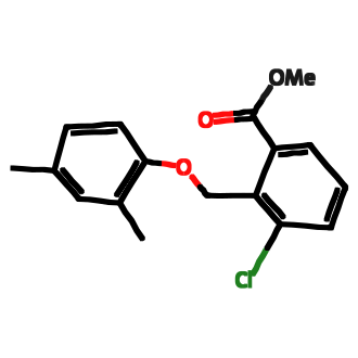 COC(=O)c1cccc(Cl)c1COc1ccc(C)cc1C